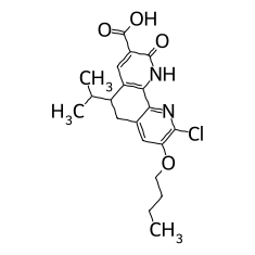 CCCCOc1cc2c(nc1Cl)-c1[nH]c(=O)c(C(=O)O)cc1C(C(C)C)C2